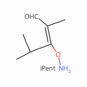 CCC[C@H](C)C(C)(C)/C(ON)=C(/C)C=O